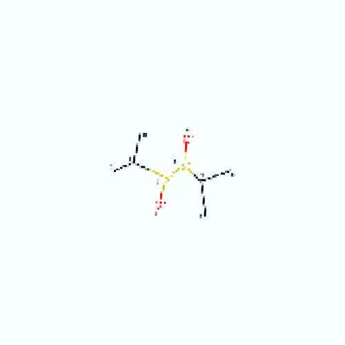 CC(C)[S+]([O-])[S+]([O-])C(C)C